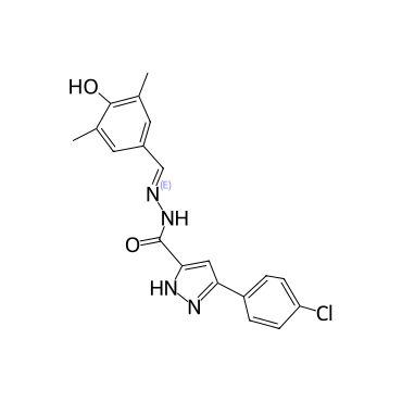 Cc1cc(/C=N/NC(=O)c2cc(-c3ccc(Cl)cc3)n[nH]2)cc(C)c1O